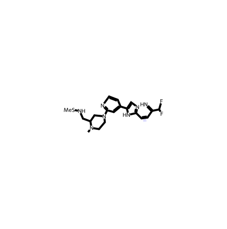 CSNCC1CN(c2cc(-c3cnc(/C=C\C(=N)C(F)F)[nH]3)ccn2)CCN1C